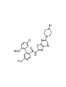 COc1ccc(Cl)cc1-c1cc(C)ncc1C(=O)Nc1nc2ncc(N3CCN(C(C)=O)CC3)nc2s1